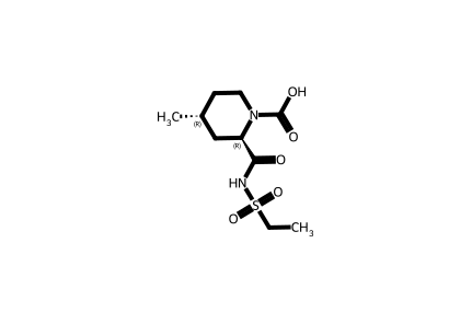 CCS(=O)(=O)NC(=O)[C@H]1C[C@H](C)CCN1C(=O)O